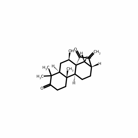 C=C1C(=O)[C@@]23[C@H](O)C[C@@H]4C(C)(C)C(=O)CC[C@@]4(C)[C@@H]2CC[C@@H]1[C@H]3O